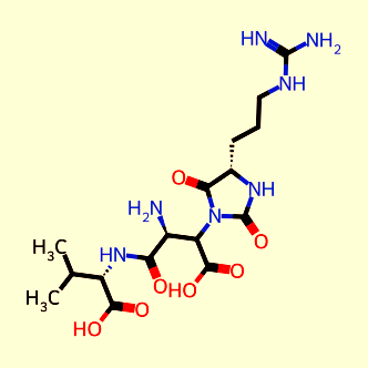 CC(C)[C@H](NC(=O)[C@@H](N)C(C(=O)O)N1C(=O)N[C@@H](CCCNC(=N)N)C1=O)C(=O)O